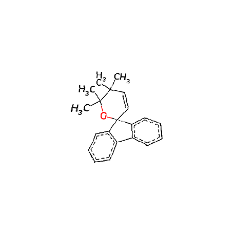 CC1(C)C=CC2(OC1(C)C)c1ccccc1-c1ccccc12